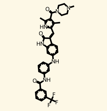 Cc1[nH]c(/C=C2\C(=O)Nc3cc(Nc4cccc(NC(=O)c5cccc(C(F)(F)F)c5)c4)ccc32)c(C)c1C(=O)N1CCN(C)CC1